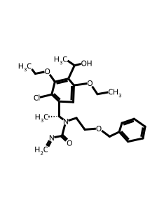 C=NC(=O)N(CCOCc1ccccc1)[C@H](C)c1cc(OCC)c(C(C)O)c(OCC)c1Cl